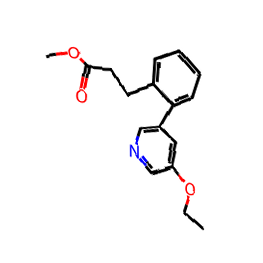 CCOc1cncc(-c2ccccc2CCC(=O)OC)c1